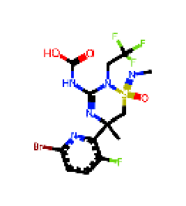 CN=S1(=O)CC(C)(c2nc(Br)ccc2F)N=C(NC(=O)O)N1CC(F)(F)F